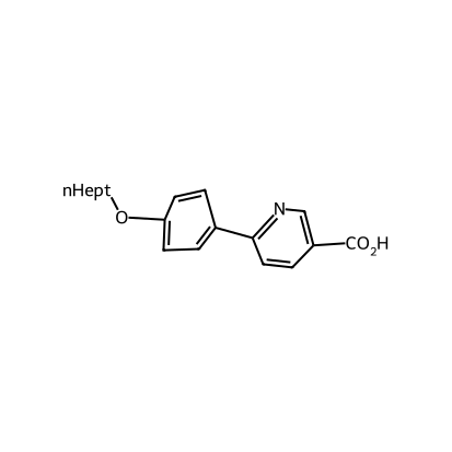 CCCCCCCOc1ccc(-c2ccc(C(=O)O)cn2)cc1